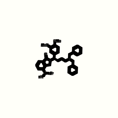 CCCN(CCC)c1cccc2c1CN([C@H](CCCN(Cc1ccccc1)Cc1ccccc1)c1ccc(OC)c(OC)c1)C2=O